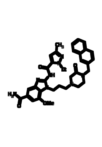 CCn1nc(C)cc1C(=O)Nc1nc2cc(C(N)=O)cc(OC)c2n1CCCN1CCN(Cc2ccc3ccccc3c2)C(=O)C1